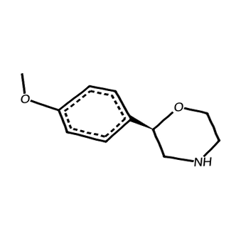 COc1ccc([C@@H]2CNCCO2)cc1